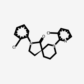 O=C1N(c2ccccc2Cl)CC[C@@]12CCCN(c1ncccc1Cl)C2